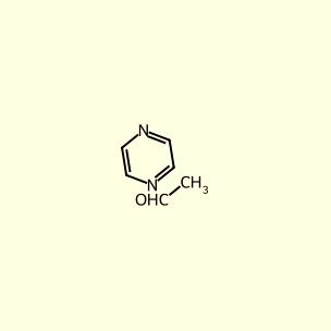 CC=O.c1cnccn1